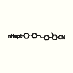 CCCCCCC[C@H]1CC[C@H](c2ccc(CCc3ccc(-c4ccc(C#N)cc4C)cc3)cc2)CC1